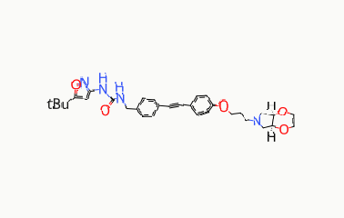 CC(C)(C)c1cc(NC(=O)NCc2ccc(C#Cc3ccc(OCCCN4C[C@@H]5OCCO[C@@H]5C4)cc3)cc2)no1